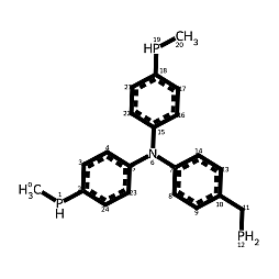 CPc1ccc(N(c2ccc(CP)cc2)c2ccc(PC)cc2)cc1